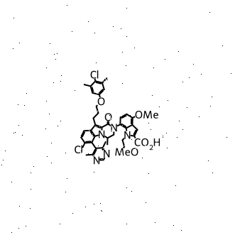 COCCn1c(C(=O)O)cc2c(OC)ccc(N3CC(C)n4c(c(CCCOc5cc(C)c(Cl)c(C)c5)c5ccc(Cl)c(-c6c(C)ncnc6C)c54)C3=O)c21